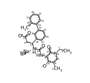 CCn1cc(C)c([O-])c(NC(=O)N[C@@H](CC(=O)[O-])c2cccc(-c3ccccc3C)c2)c1=O.[Na+].[Na+]